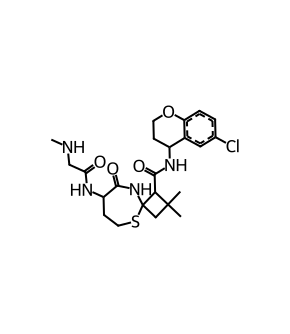 CNCC(=O)NC1CCSC2(CC(C)(C)C2C(=O)NC2CCOc3ccc(Cl)cc32)NC1=O